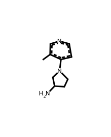 Cc1cnccc1N1CCC(N)C1